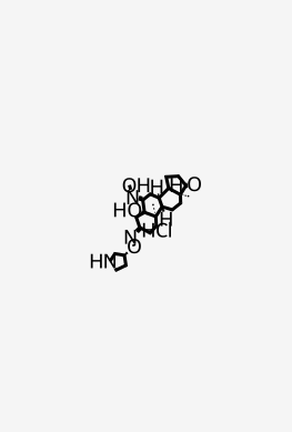 C[C@]12CC[C@H]3[C@@H](C/C(=N\O)[C@@]4(O)C/C(=N/O[C@H]5CCNC5)CC[C@]34C)[C@@H]1CCC2=O.Cl